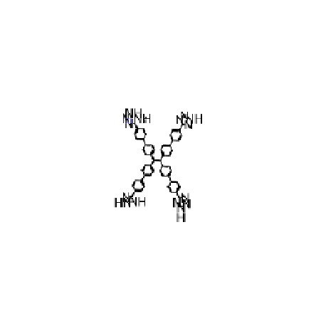 N=C(/N=N\N)c1ccc(-c2ccc(C(=C(c3ccc(-c4ccc(-c5nn[nH]n5)cc4)cc3)c3ccc(-c4ccc(-c5nn[nH]n5)cc4)cc3)c3ccc(-c4ccc(-c5n[nH][nH]5)cc4)cc3)cc2)cc1